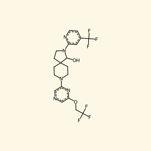 OC1N(c2cc(C(F)(F)F)ccn2)CCC12CCN(c1cncc(OCC(F)(F)F)n1)CC2